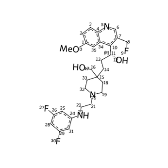 COc1ccc2ncc(CF)c([C@H](O)CCC3(CO)CCN(CCNc4cc(F)cc(F)c4)CC3)c2c1